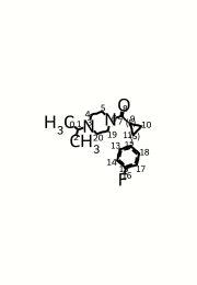 CC(C)N1CCN(C(=O)[C@H]2C[C@@H]2c2ccc(F)cc2)CC1